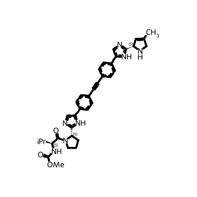 COC(=O)N[C@H](C(=O)N1CCC[C@H]1c1ncc(-c2ccc(C#Cc3ccc(-c4cnc([C@@H]5C=C(C)CN5)[nH]4)cc3)cc2)[nH]1)C(C)C